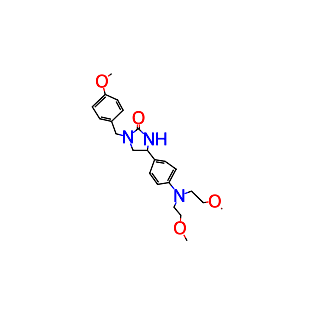 COCCN(CCOC)c1ccc(C2CN(Cc3ccc(OC)cc3)C(=O)N2)cc1